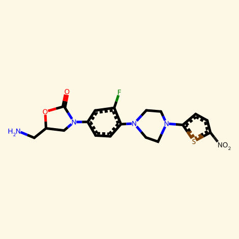 NCC1CN(c2ccc(N3CCN(c4ccc([N+](=O)[O-])s4)CC3)c(F)c2)C(=O)O1